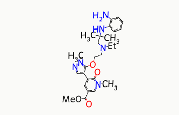 CCN(CCOc1c(-c2cc(C(=O)OC)cn(C)c2=O)cnn1C)CC(C)(C)Nc1ccccc1N